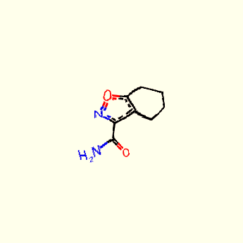 NC(=O)c1noc2c1CCCC2